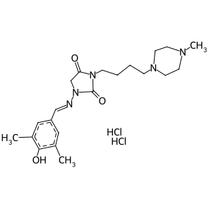 Cc1cc(C=NN2CC(=O)N(CCCCN3CCN(C)CC3)C2=O)cc(C)c1O.Cl.Cl